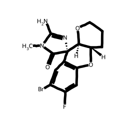 CN1C(=O)[C@]2(N=C1N)c1cc(Br)c(F)cc1O[C@H]1CCCO[C@@H]12